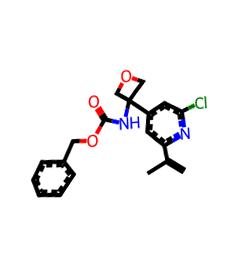 C=C(C)c1cc(C2(NC(=O)OCc3ccccc3)COC2)cc(Cl)n1